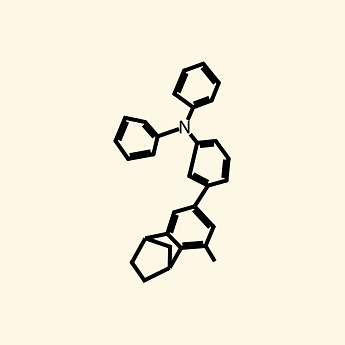 Cc1cc(-c2cccc(N(c3ccccc3)c3ccccc3)c2)cc2c1C1CCC2C1